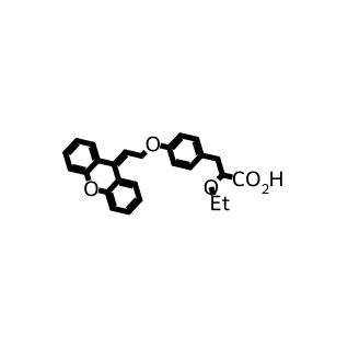 CCOC(Cc1ccc(OCC=C2c3ccccc3Oc3ccccc32)cc1)C(=O)O